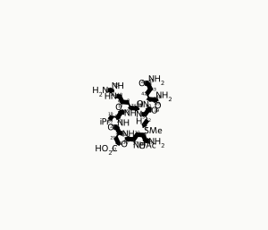 CSCC[C@H](NC(=O)[C@H](CCCNC(=N)N)NC(=O)[C@H](CC(C)C)NC(=O)[C@H](CCC(=O)O)NC(=O)[C@H](CCC(N)=O)NC(C)=O)C(=O)N[C@@H](CCC(N)=O)C(N)=O